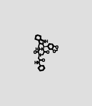 O=C(CN1CC(=O)N2[C@H](c3ccc4c(c3)OCO4)c3[nH]c4ccccc4c3C[C@@H]2C1=O)Nc1ccccc1